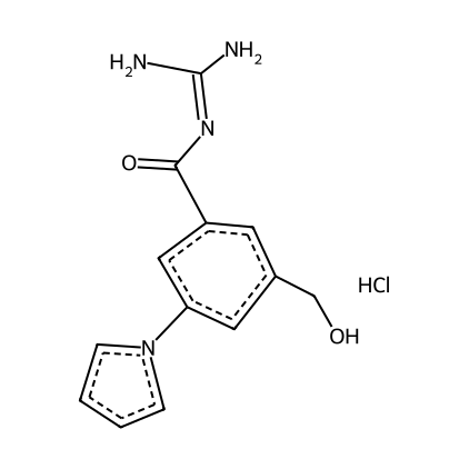 Cl.NC(N)=NC(=O)c1cc(CO)cc(-n2cccc2)c1